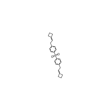 O=S(=O)(c1ccc(CC=C2CCC2)cc1)c1ccc(CC=C2CCC2)cc1